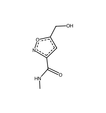 CNC(=O)c1cc(CO)on1